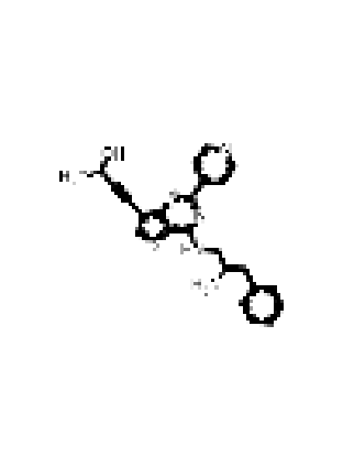 C[C@@H](O)C#Cc1csc2c(NC[C@H](N)Cc3ccccc3)nc(-c3ccncc3)nc12